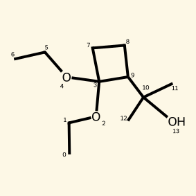 CCOC1(OCC)CCC1C(C)(C)O